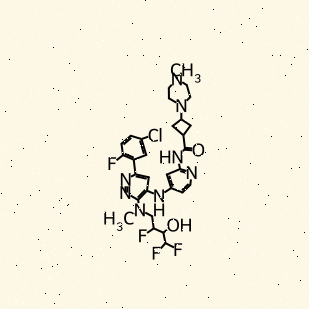 CN1CCN(C2CC(C(=O)Nc3cc(Nc4cc(-c5cc(Cl)ccc5F)nnc4N(C)CC(F)C(O)C(F)F)ccn3)C2)CC1